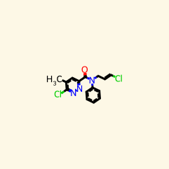 Cc1cc(C(=O)N(CC=CCl)c2ccccc2)nnc1Cl